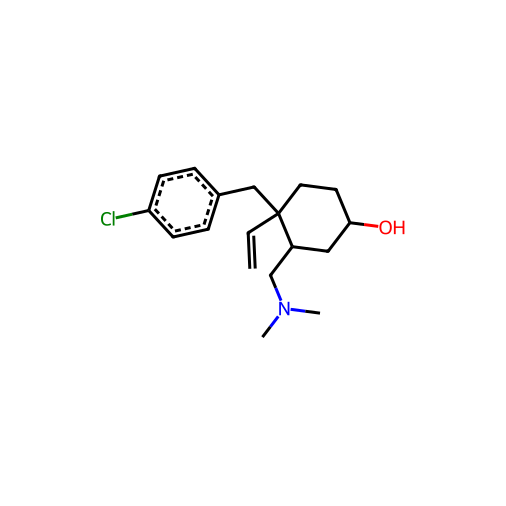 C=CC1(Cc2ccc(Cl)cc2)CCC(O)CC1CN(C)C